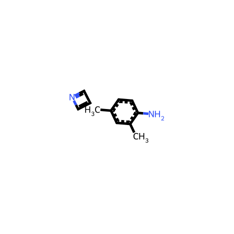 C1=CN=C1.Cc1ccc(N)c(C)c1